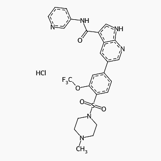 CN1CCN(S(=O)(=O)c2ccc(-c3cnc4[nH]cc(C(=O)Nc5cccnc5)c4c3)cc2OC(F)(F)F)CC1.Cl